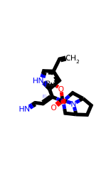 C=Cc1c[nH]c(/C(=C\C=N)N2CC3CCC(C2)N3C(=O)OC(C)(C)C)c1